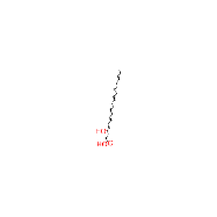 CCC=CCC=CCC=CCC=CCC=CC=CC(O)CCC(=O)O